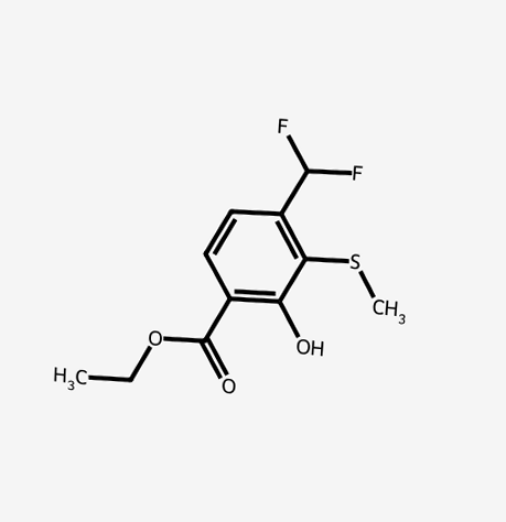 CCOC(=O)c1ccc(C(F)F)c(SC)c1O